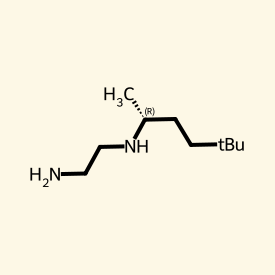 C[C@H](CCC(C)(C)C)NCCN